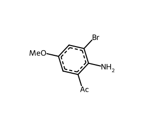 COc1cc(Br)c(N)c(C(C)=O)c1